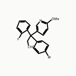 COc1ccc(C(CC=O)(c2ccc(Br)cc2)c2ccccc2F)cn1